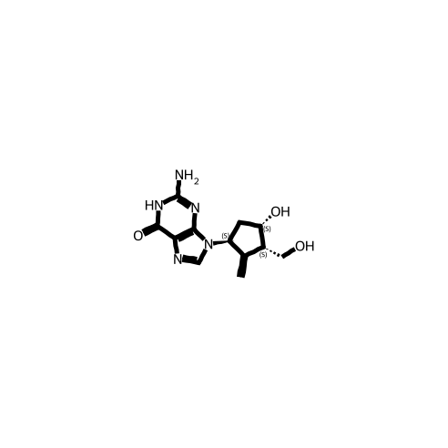 C=C1[C@@H](CO)[C@@H](O)C[C@@H]1n1cnc2c(=O)[nH]c(N)nc21